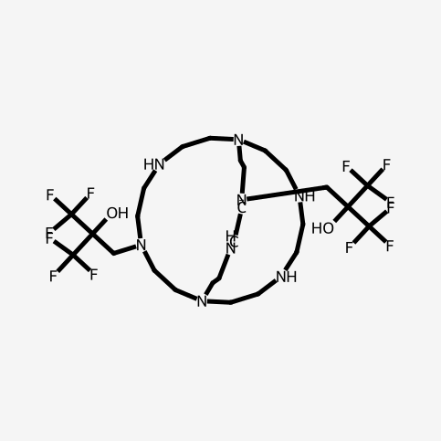 OC(CN1CCNCCN2CCNCCNCCN(CCNCCN(CC(O)(C(F)(F)F)C(F)(F)F)CC2)CC1)(C(F)(F)F)C(F)(F)F